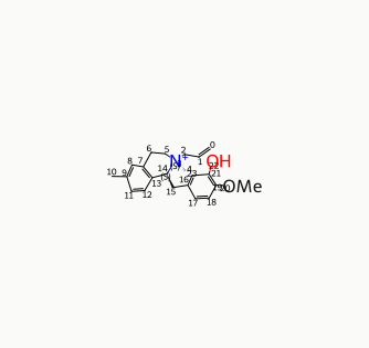 C=CC[N@+]1(C)CCc2cc(C)ccc2[C@@H]1Cc1ccc(OC)c(O)c1